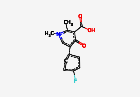 Cc1c(C(=O)O)c(=O)c(-c2ccc(F)cc2)cn1C